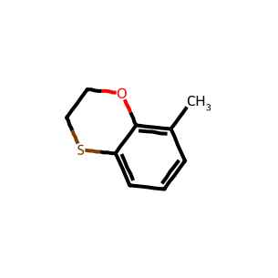 Cc1cccc2c1OCCS2